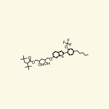 CCCCCc1ccc(-c2cc3ccc(OCC(O)CC(O)COC(=O)C(CC(C)(C)C)C(C)(C)C)cc3s2)c(OC(F)(F)F)c1